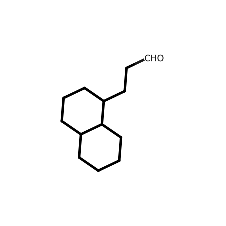 O=CCCC1CCCC2CCCCC12